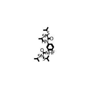 CC(C)SN(SC(C)C)C(=O)Nc1ccc(F)c(NC(=O)N(SC(C)C)SC(C)C)c1